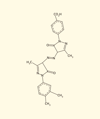 CC1=NN(c2ccc(C(=O)O)cc2)C(=O)C1N=NC1C(=O)N(c2ccc(C)c(C)c2)N=C1C